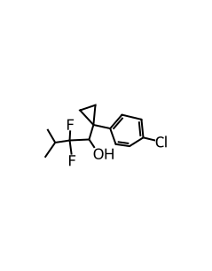 CC(C)C(F)(F)C(O)C1(c2ccc(Cl)cc2)CC1